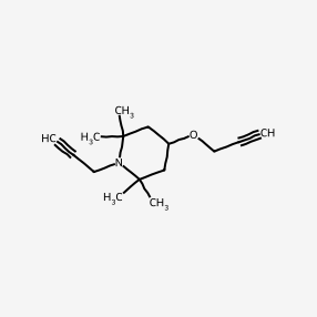 C#CCOC1CC(C)(C)N(CC#C)C(C)(C)C1